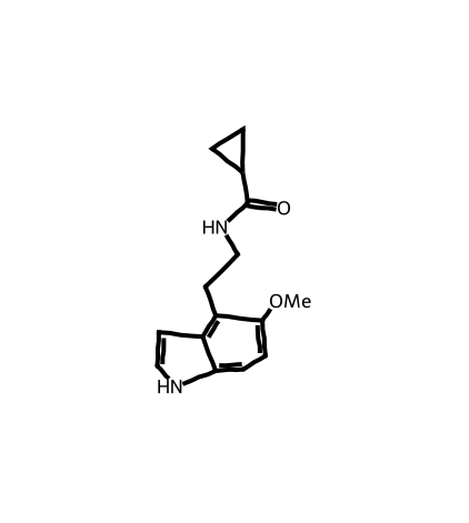 COc1ccc2[nH]ccc2c1CCNC(=O)C1CC1